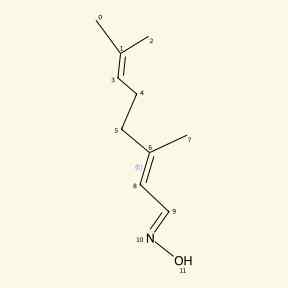 CC(C)=CCC/C(C)=C/C=NO